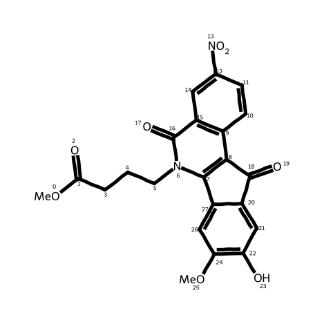 COC(=O)CCCn1c2c(c3ccc([N+](=O)[O-])cc3c1=O)C(=O)c1cc(O)c(OC)cc1-2